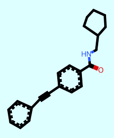 O=C(NCC1CCCCC1)c1ccc(C#Cc2ccccc2)cc1